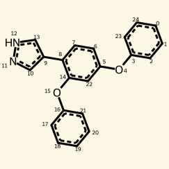 c1ccc(Oc2ccc(-c3cn[nH]c3)c(Oc3ccccc3)c2)cc1